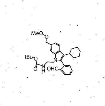 COOCc1ccc2c(C3CCCCC3)c(-c3ccccc3C=O)n(CCNC(=O)OC(C)(C)C)c2c1